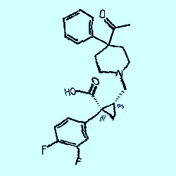 CC(=O)C1(c2ccccc2)CCN(C[C@@H]2C[C@@]2(C(=O)O)c2ccc(F)c(F)c2)CC1